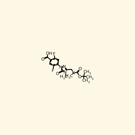 CN(Cc1nn(-c2cc(F)c(C(=O)O)cc2F)c(=O)n1C)C(=O)OC(C)(C)C